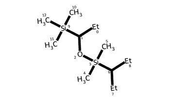 CCC(O[Si](C)(C)C(CC)CC)[Si](C)(C)C